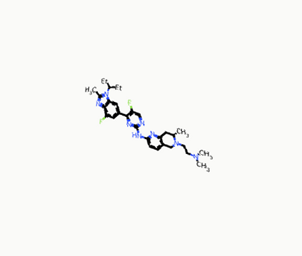 CCC(CC)n1c(C)nc2c(F)cc(-c3nc(Nc4ccc5c(n4)C[C@@H](C)N(CCN(C)C)C5)ncc3F)cc21